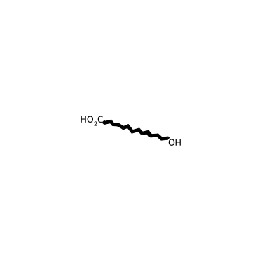 O=C(O)CCCCCCCCC/C=C/CCCO